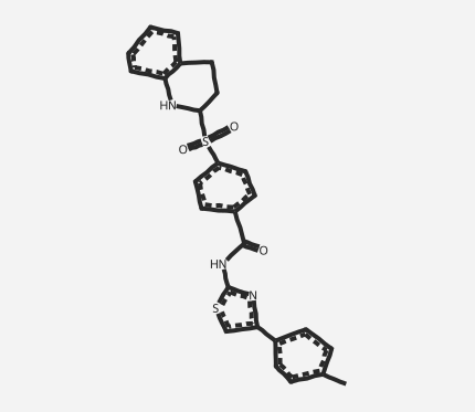 Cc1ccc(-c2csc(NC(=O)c3ccc(S(=O)(=O)C4CCc5ccccc5N4)cc3)n2)cc1